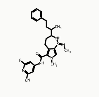 C/N=S1/NC(C(C)CCc2ccccc2)CCc2c1cn(C)c2C(=O)Nc1cc(F)nc(C#N)c1